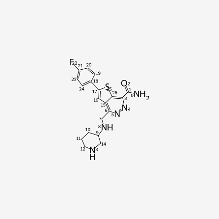 NC(=O)c1nnc(CNC2CCCNC2)c2cc(-c3ccc(F)cc3)sc12